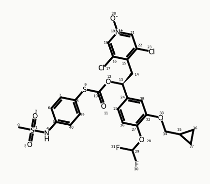 CS(=O)(=O)Nc1ccc(SC(=O)O[C@@H](Cc2c(Cl)c[n+]([O-])cc2Cl)c2ccc(OC(F)F)c(OCC3CC3)c2)cc1